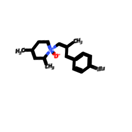 CC1CC[N+]([O-])(CC(C)Cc2ccc(C(C)(C)C)cc2)C(C)C1